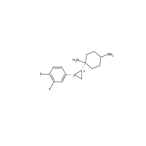 NC1CCC(N)([C@@H]2C[C@@H]2c2ccc(F)c(F)c2)CC1